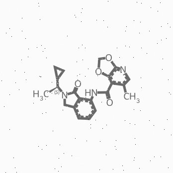 Cc1cnc2c(c1C(=O)Nc1cccc3c1C(=O)N([C@@H](C)C1CC1)C3)OCO2